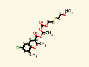 Cc1cc(Cl)cc2c1OC(C(F)(F)F)C(C(=O)OC(C)OC(=O)OCCSCCO[N+](=O)[O-])=C2